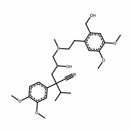 COc1ccc(C(C#N)(CC(O)CN(C)CCc2cc(OC)c(OC)cc2CO)C(C)C)cc1OC